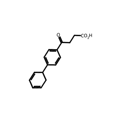 O=C(O)CCC(=O)c1ccc(C2C=CC=CC2)cc1